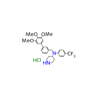 COc1cc(-c2cccc(CN(c3ccc(C(F)(F)F)cc3)C3CCNCC3)c2)cc(OC)c1OC.Cl